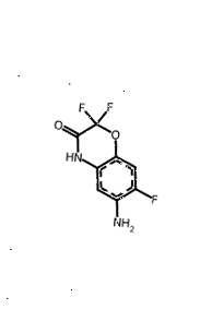 Nc1cc2c(cc1F)OC(F)(F)C(=O)N2